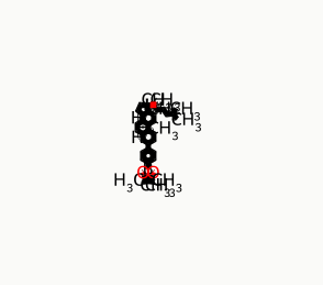 CC(C)CCC[C@@H](C)[C@@]1(C)CC[C@H]2[C@@H]3CC[C@H]4CC(c5ccc(B6OC(C)(C)C(C)(C)O6)cc5)CC[C@]4(C)C3CC[C@@]21C